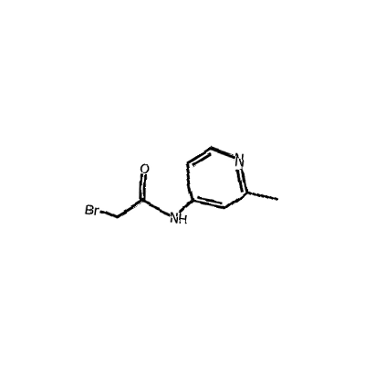 Cc1cc(NC(=O)CBr)ccn1